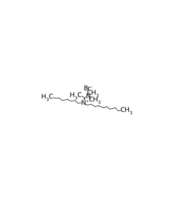 CCCCCCCCCC[N+](CCCCCCCC)=C(C)N(C)C.[Br-]